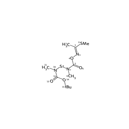 CSC(C)=NOC(=O)N(C)SN(C)C(=O)OC(C)(C)C